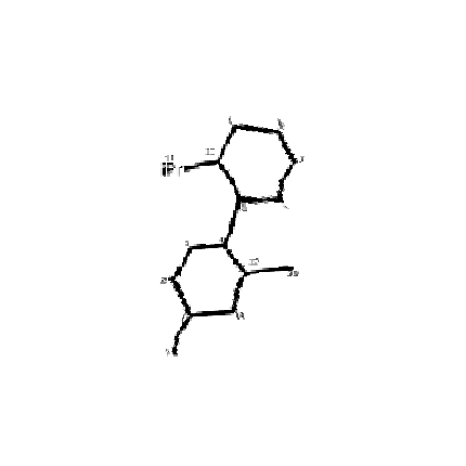 CC1CCC(C2CCCCC2C(C)C)C(C)C1